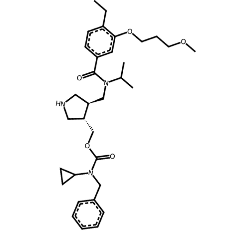 CCc1ccc(C(=O)N(C[C@@H]2CNC[C@H]2COC(=O)N(Cc2ccccc2)C2CC2)C(C)C)cc1OCCCOC